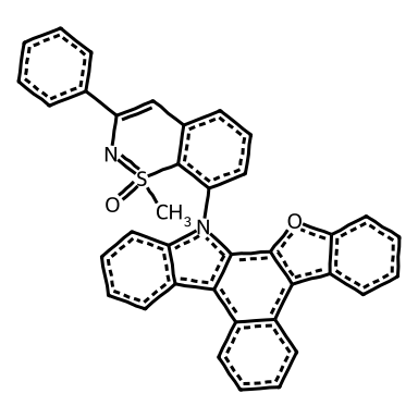 CS1(=O)=NC(c2ccccc2)=Cc2cccc(-n3c4ccccc4c4c5ccccc5c5c6ccccc6oc5c43)c21